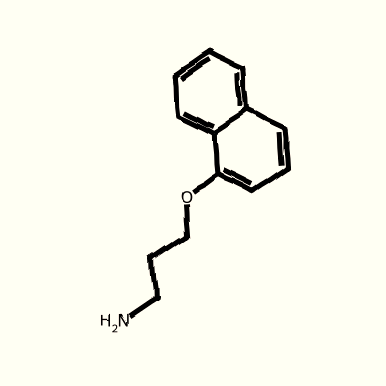 NCCCOc1cccc2ccccc12